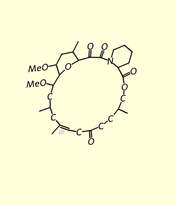 COC1CC(C)C/C(C)=C\CC(=O)CCC(C)COC(=O)C2CCCCN2C(=O)C(=O)C2OC1C(OC)CC2C